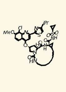 COc1ccc2c(O[C@@H]3C[C@H]4C(=O)N[C@]5(C(=O)NS(=O)(=O)C6CC6)CC5/C=C\CCCCCNC(=O)N4C3)cc(-c3nc(C(C)C)cs3)nc2c1Cl